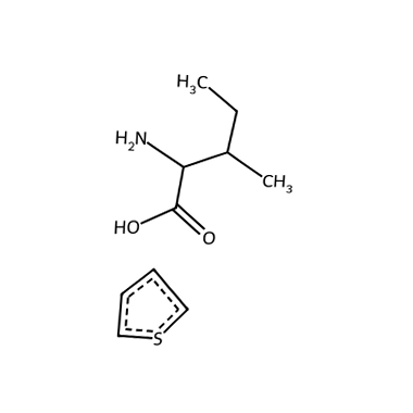 CCC(C)C(N)C(=O)O.c1ccsc1